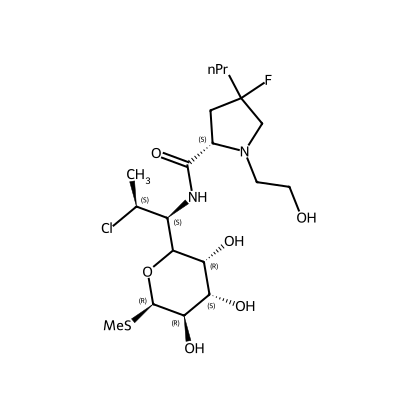 CCCC1(F)C[C@@H](C(=O)N[C@@H](C2O[C@H](SC)[C@H](O)[C@@H](O)[C@H]2O)[C@H](C)Cl)N(CCO)C1